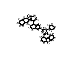 c1ccc(-c2nc(-c3ccc4c(-c5cncc6oc7cc8ccccc8cc7c56)cccc4c3)nc(-c3cccc4oc5ccccc5c34)n2)cc1